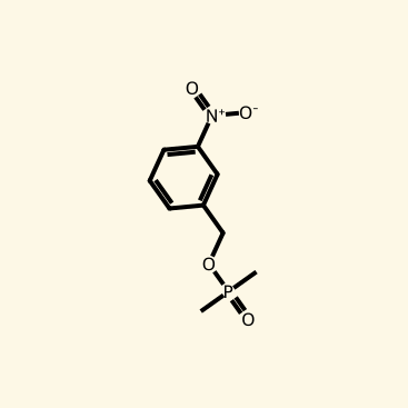 CP(C)(=O)OCc1cccc([N+](=O)[O-])c1